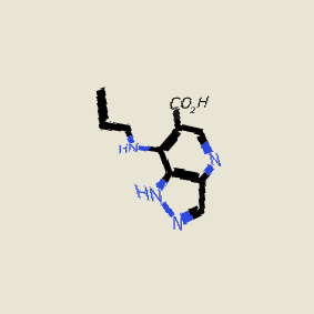 C=CCNc1c(C(=O)O)cnc2cn[nH]c12